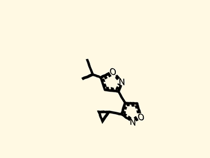 CC(C)c1cc(-c2conc2C2CC2)no1